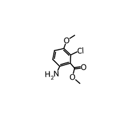 COC(=O)c1c(N)ccc(OC)c1Cl